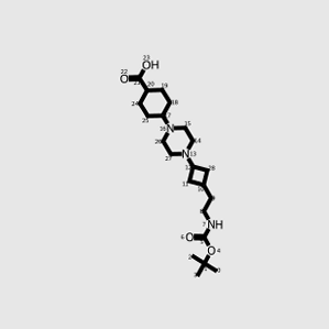 CC(C)(C)OC(=O)NCCC1CC(N2CCN(C3CCC(C(=O)O)CC3)CC2)C1